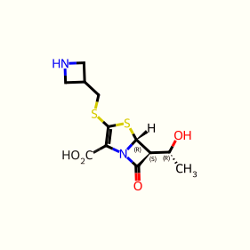 C[C@@H](O)[C@H]1C(=O)N2C(C(=O)O)=C(SCC3CNC3)S[C@H]12